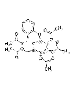 CC(=O)OC[C@H]1O[C@@H](Oc2ccccc2CSC(C)=O)[C@H](OC(C)=O)[C@@H](OC(C)=O)[C@H]1OC(C)=O